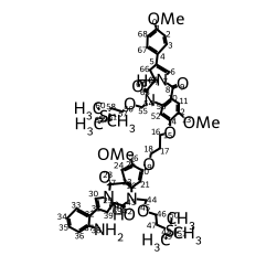 COc1ccc(C2=CN3C(=O)c4cc(OC)c(OCCCOc5cc6c(cc5OC)C(=O)N5C=C(c7ccccc7N)C[C@H]5C(=O)N6COCC[Si](C)(C)C)cc4N(COCC[Si](C)(C)C)C(=O)[C@@H]3C2)cc1